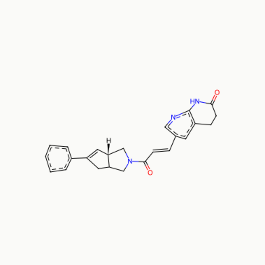 O=C1CCc2cc(/C=C/C(=O)N3CC4CC(c5ccccc5)=C[C@@H]4C3)cnc2N1